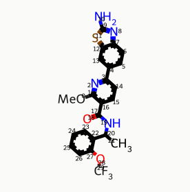 COc1nc(-c2ccc3nc(N)sc3c2)ccc1C(=O)NC(C)c1ccccc1OC(F)(F)F